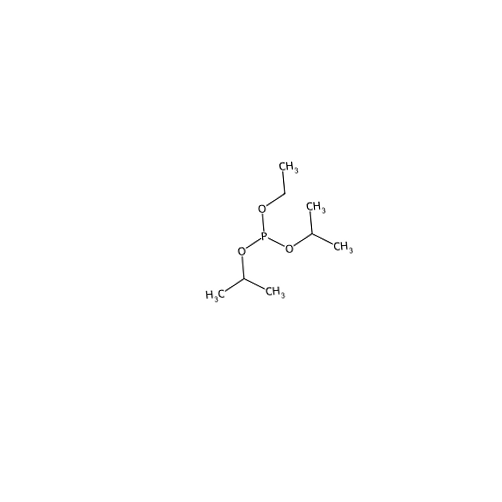 CCOP(OC(C)C)OC(C)C